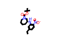 CCc1ccc([N+](=O)[O-])c(N[C@@H]2CCCCN(C(=O)OC(C)(C)C)C2)c1